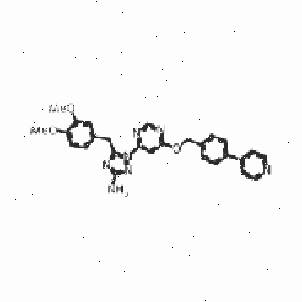 COc1ccc(Cc2nc(N)nn2-c2cc(OCc3ccc(-c4ccncc4)cc3)ncn2)cc1OC